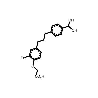 CCc1cc(CCCc2ccc(C(O)O)cc2)ccc1OCC(=O)O